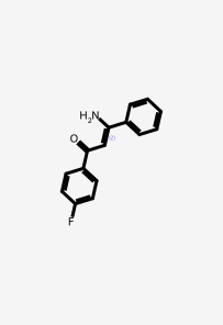 N/C(=C\C(=O)c1ccc(F)cc1)c1ccccc1